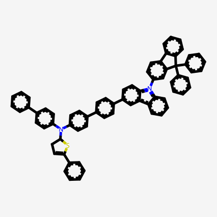 C1=C(c2ccccc2)SC(N(c2ccc(-c3ccccc3)cc2)c2ccc(-c3ccc(-c4ccc5c(c4)c4ccccc4n5-c4ccc5c(c4)C(c4ccccc4)(c4ccccc4)c4ccccc4-5)cc3)cc2)C1